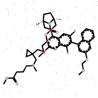 CCCCOC(=O)N1[C@@H]2CC[C@@]1(C)CN(c1nc(OCC3(CN(C)CCCC(=O)OC)CC3)nc3c(F)c(-c4cc(OCOC)cc5ccccc45)c(F)cc13)C2